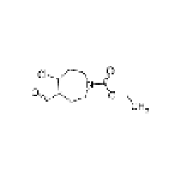 CCOC(=O)N1CCC(Cl)=C(C=O)CC1